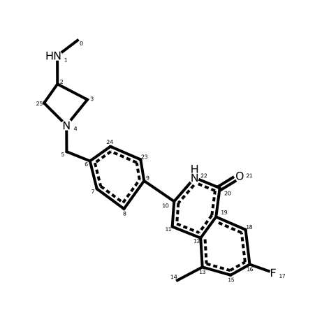 CNC1CN(Cc2ccc(-c3cc4c(C)cc(F)cc4c(=O)[nH]3)cc2)C1